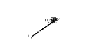 CCCCCCCCCCC=CC=CC=CC=CC=CC=CO[C@H](CC(=O)[O-])C[N+](C)(C)C